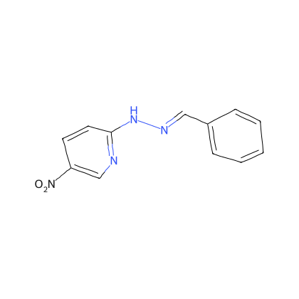 O=[N+]([O-])c1ccc(NN=Cc2ccccc2)nc1